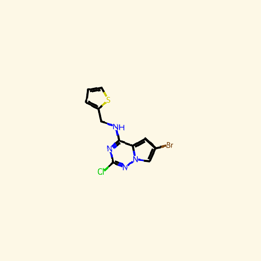 Clc1nc(NCc2cccs2)c2cc(Br)cn2n1